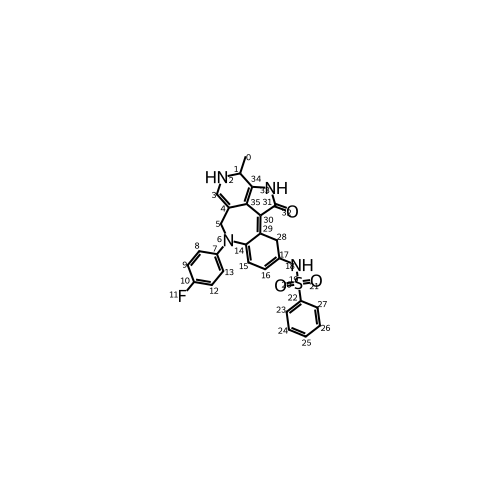 CC1NC=C2CN(c3ccc(F)cc3)C3=CC=C(NS(=O)(=O)c4ccccc4)CC3=C3C(=O)NC1=C23